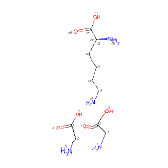 NCC(=O)O.NCC(=O)O.NCCCC[C@H](N)C(=O)O